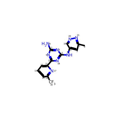 Cc1cc(Nc2nc(N)nc(-c3cccc(C(F)(F)F)n3)n2)cnn1